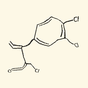 C=C(C(=O)Cl)c1ccc(Cl)c(Cl)c1